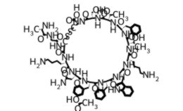 CC(=O)O.CC(O)[C@@H]1NC(=O)[C@H](Cc2ccccc2)NC(=O)[C@H](C(C)O)NC(=O)[C@H](CCCCN)NC(=O)[C@H](Cc2c[nH]c3ccccc23)NC(=O)[C@H](Cc2ccccc2)NC(=O)[C@H](Cc2ccccc2)NC(=O)[C@H](CC(N)=O)NC(=O)[C@H](CCCCN)NC(=O)[C@@H](NC(=O)CNC(=O)[C@H](C)N)CSSC[C@@H](C(=O)O)NC(=O)[C@H](CO)NC1=O